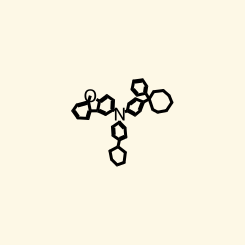 c1ccc(C2(c3ccc(N(c4ccc(C5CCCCC5)cc4)c4ccc5oc6ccccc6c5c4)cc3)CCCCCCC2)cc1